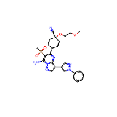 COCCO[C@]1(C#N)CC[C@@H](c2nc3c(-c4cnn(-c5ccccc5)c4)cnn3c(N)c2S(C)(=O)=O)CC1